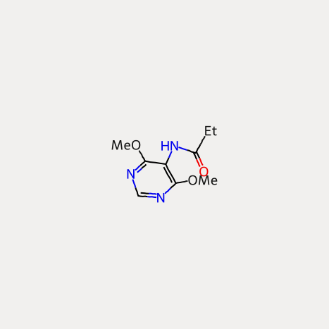 CCC(=O)Nc1c(OC)ncnc1OC